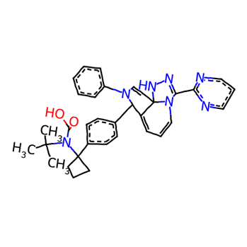 CC(C)(C)N(C(=O)O)C1(c2ccc(C3C4=CC=CN5C(c6ncccn6)=NNC45C=CN3c3ccccc3)cc2)CCC1